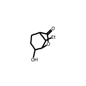 CCC1C2CCC(O)C1OC2=O